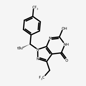 CC(C)(C)[C@H](c1ccc(C(F)(F)F)cc1)n1nc(CC(F)(F)F)c2c(=O)[nH]c(O)nc21